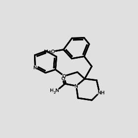 COc1cccc(CC2(COc3cccnc3)CNCCN2C(N)=O)c1